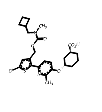 Cc1nc(-c2sc(Cl)cc2COC(=O)N(C)CC2CCC2)ccc1O[C@H]1CCC[C@H](C(=O)O)C1